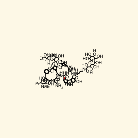 CC[C@@H](O)[C@](C)(N)C[C@@H](O)OC1C(O)[C@@H](O)[C@@H](CO)O[C@@H]1Oc1c2cc3cc1Oc1ccc(cc1Cl)[C@@H](O)[C@@H](NC(=O)[C@@H](CC(C)C)NC)C(=O)N[C@@H](CC(N)=O)C(=O)N[C@H]3C(=O)N[C@H]1C(=O)N[C@H](C(=O)N[C@H](C(=O)NCCCNC(=O)[C@H](O)[C@@H](O)[C@H](OC3OC(CO)C(O)C(O)C3O)[C@H](O)CO)c3cc(O)cc(O)c3-c3cc1ccc3O)[C@H](O)c1ccc(c(Cl)c1)O2